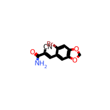 N#CC(=Cc1cc2c(cc1Br)OCO2)C(N)=O